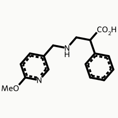 COc1ccc(CNCC(C(=O)O)c2ccccc2)cn1